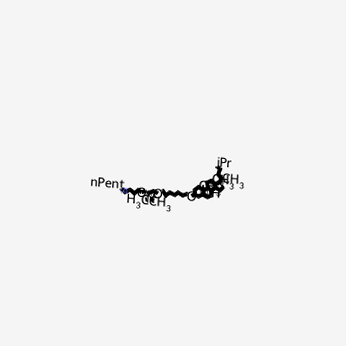 CCCCC/C=C\CCCOC[C@H](COCCCCCCCOC1CC[C@@]2(C)C(=CC[C@@H]3C2CC[C@@]2(C)C3CC[C@@H]2[C@H](C)CCCC(C)C)C1)N(C)C